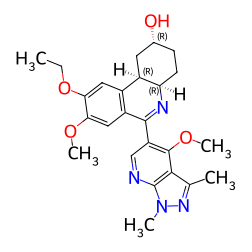 CCOc1cc2c(cc1OC)C(c1cnc3c(c(C)nn3C)c1OC)=N[C@@H]1CC[C@@H](O)C[C@H]21